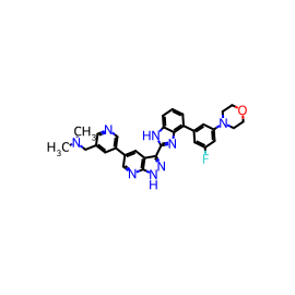 CN(C)Cc1cncc(-c2cnc3[nH]nc(-c4nc5c(-c6cc(F)cc(N7CCOCC7)c6)cccc5[nH]4)c3c2)c1